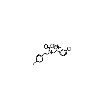 O=C(O)N(CCc1ccc(I)cc1)C[C@H](O)c1cccc(Cl)c1